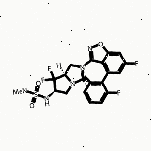 CNS(=O)(=O)N[C@@H]1CN2C(=O)N(c3noc4cc(F)cc(-c5c(F)cccc5F)c34)C[C@@H]2C1(F)F